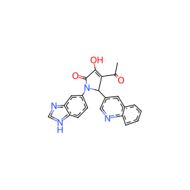 CC(=O)C1=C(O)C(=O)N(c2ccc3[nH]cnc3c2)C1c1cnc2ccccc2c1